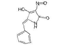 O=NC1=C(O)C(=Cc2ccccc2)NC1=O